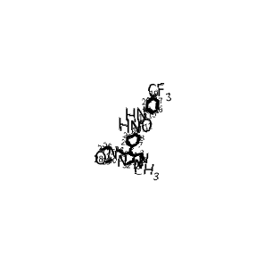 Cn1ncc2c(-c3ccc(NC(=O)Nc4cccc(C(F)(F)F)c4)cc3)c(CN3CCOCC3)ncc21